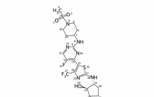 CS(=O)(=O)N1CCC(Nc2ncc(F)c(-c3sc(N[C@@H]4CCC[C@H]4O)nc3C(F)(F)F)n2)CC1